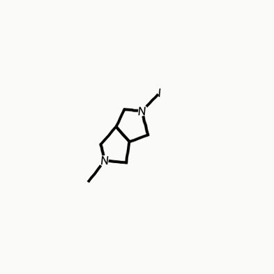 CN1CC2CN(I)CC2C1